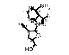 C#CC1CC(CO)OC1n1cc(F)c2c(N)ncnc21